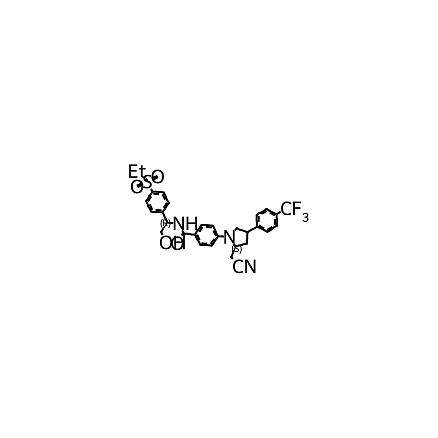 CCS(=O)(=O)c1ccc([C@H](CO)NC(=O)c2ccc(N3CC(c4ccc(C(F)(F)F)cc4)C[C@H]3CC#N)cc2)cc1